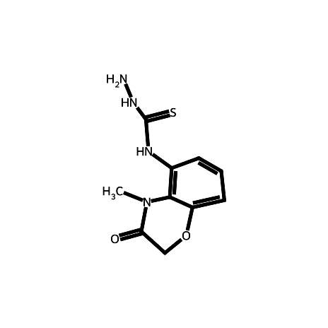 CN1C(=O)COc2cccc(NC(=S)NN)c21